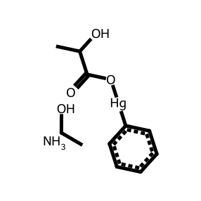 CC(O)C(=O)[O][Hg][c]1ccccc1.CCO.N